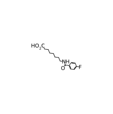 O=C(O)CCCCCCCNC(=O)c1ccc(F)cc1